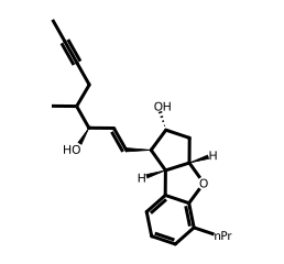 CC#CCC(C)[C@H](O)/C=C/[C@@H]1[C@H]2c3cccc(CCC)c3O[C@H]2C[C@H]1O